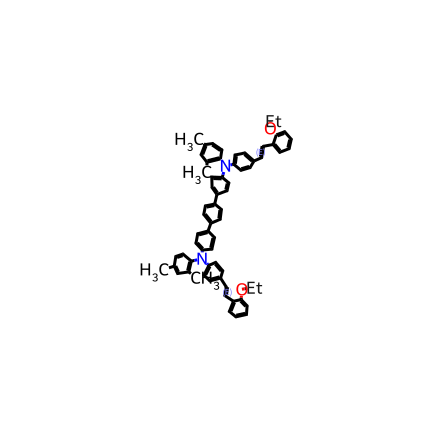 CCOc1ccccc1/C=C/c1ccc(N(c2ccc(-c3ccc(-c4ccc(N(c5ccc(/C=C/c6ccccc6OCC)cc5)c5ccc(C)cc5C)cc4)cc3)cc2)c2ccc(C)cc2C)cc1